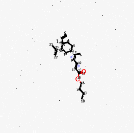 C=C[C@@]1(C)CC[C@H](/C(C)=C/C=C/C(=O)OCCCC)C[C@@H]1C(=C)C